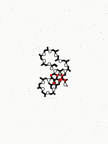 C=CC(=O)OCC(C)OCC(C)OCC(C)OCC(C)OCC(C)OCC(C)OCC(C)OCC(C)OCC(C)OCC(C)OCC(C)OCC(C)OCC(C)OCC(C)OCC(C)OCC(C)OCC(C)OCC(C)OCC(C)OCC(C)OC